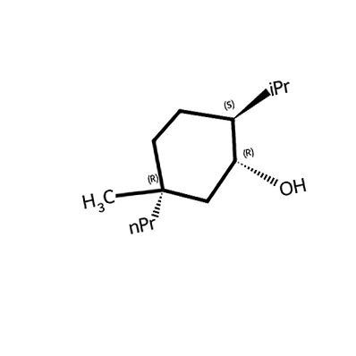 [CH2]CC[C@]1(C)CC[C@@H](C(C)C)[C@H](O)C1